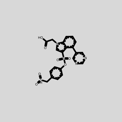 O=C(O)Cn1cc(S(=O)(=O)Oc2ccc(C[SH](=O)=O)cc2)c2c(-c3cncnc3)cccc21